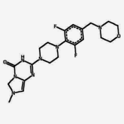 CN1C=C2N=C(N3CCN(c4c(F)cc(CN5CCOCC5)cc4F)CC3)NC(=O)N2C1